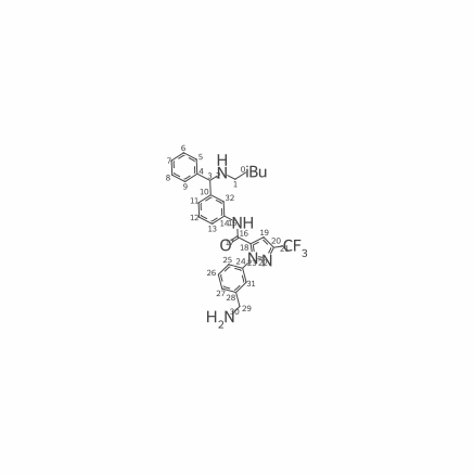 CCC(C)CNC(c1ccccc1)c1cccc(NC(=O)c2cc(C(F)(F)F)nn2-c2cccc(CN)c2)c1